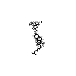 CC(C)CCC[C@@H](C)[C@H]1CC[C@H]2[C@@H]3CC=C4CC(OCC(=O)OC(CO)(CO)CO)CC[C@]4(C)[C@H]3CC[C@]12C